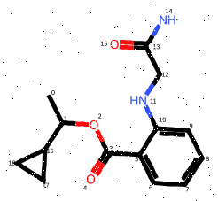 CC(OC(=O)c1ccccc1NCC([NH])=O)C1CC1